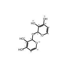 OC1=C(O)C(OC2OC=CC(O)=C2O)OC=C1